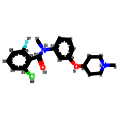 CN1CCC(Oc2cccc(N(C)C(=O)c3c(F)cccc3Cl)c2)CC1